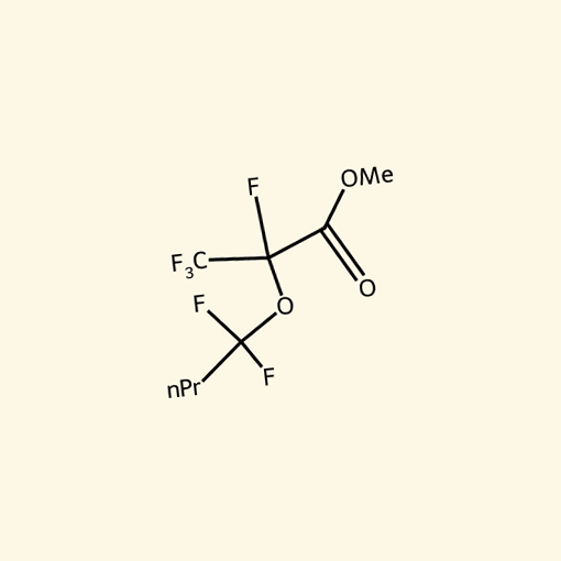 CCCC(F)(F)OC(F)(C(=O)OC)C(F)(F)F